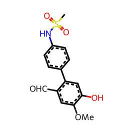 COc1cc(C=O)c(-c2ccc(NS(C)(=O)=O)cc2)cc1O